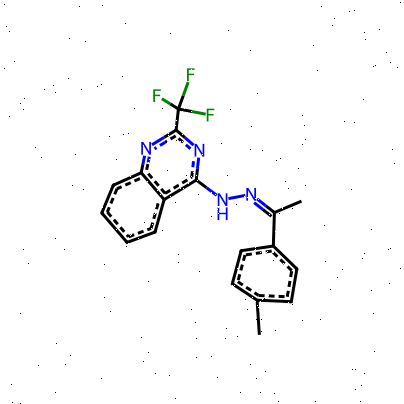 CC(=NNc1nc(C(F)(F)F)nc2ccccc12)c1ccc(C)cc1